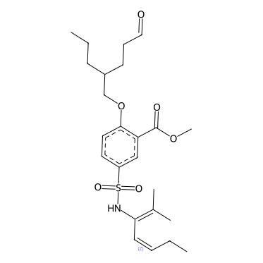 CC/C=C\C(NS(=O)(=O)c1ccc(OCC(CCC)CCC=O)c(C(=O)OC)c1)=C(C)C